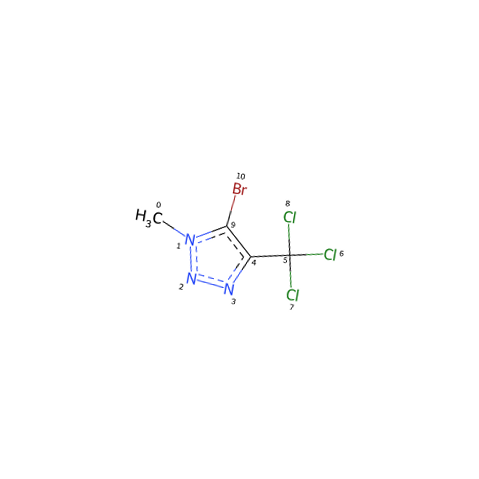 Cn1nnc(C(Cl)(Cl)Cl)c1Br